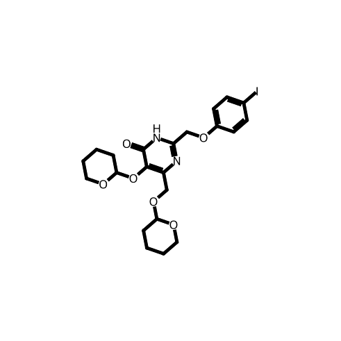 O=c1[nH]c(COc2ccc(I)cc2)nc(COC2CCCCO2)c1OC1CCCCO1